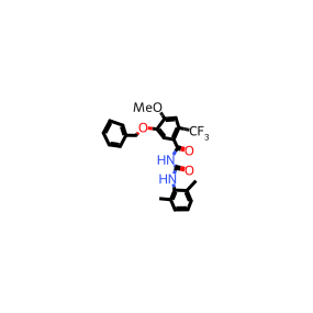 COc1cc(C(F)(F)F)c(C(=O)NC(=O)Nc2c(C)cccc2C)cc1OCc1ccccc1